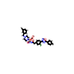 Cc1ccc(-c2nc(-c3ccc(CC(NS(=O)(=O)N4CCN(Cc5cccc(C)c5)CC4)OC=O)cc3F)no2)cc1